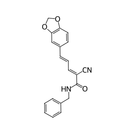 N#C/C(=C\C=C\c1ccc2c(c1)OCO2)C(=O)NCc1ccccc1